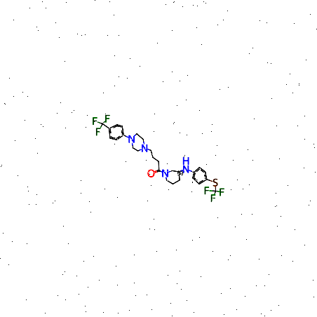 O=C(CCCN1CCN(c2ccc(C(F)(F)F)cc2)CC1)N1CCC[C@H](Nc2ccc(SC(F)(F)F)cc2)C1